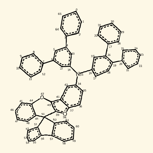 c1ccc(-c2cc(-c3ccccc3)cc(N(c3ccc(-c4ccccc4)c(-c4ccccc4)c3)c3ccc4oc5c(c4c3)Oc3ccccc3C53c4ccccc4-c4ccccc43)c2)cc1